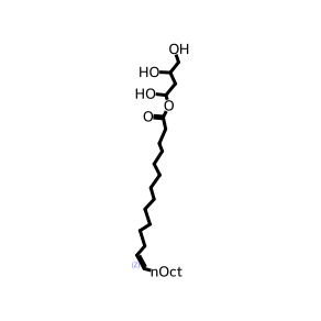 CCCCCCCC/C=C\CCCCCCCCCCCC(=O)OC(O)CC(O)CO